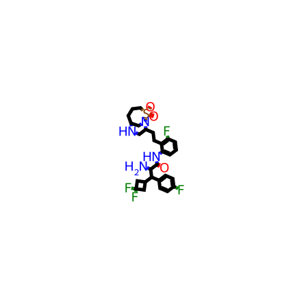 NC(C(=O)Nc1cccc(F)c1CCC1CNC2CCCS(=O)(=O)N1C2)C(c1ccc(F)cc1)C1CC(F)(F)C1